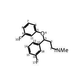 CNCCC(Oc1cccc(F)c1)c1cccc(F)c1